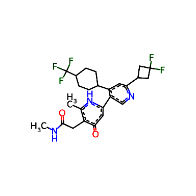 CNC(=O)Cc1c(C)[nH]c(-c2cnc(C3CC(F)(F)C3)cc2C2CCC(C(F)(F)F)CC2)cc1=O